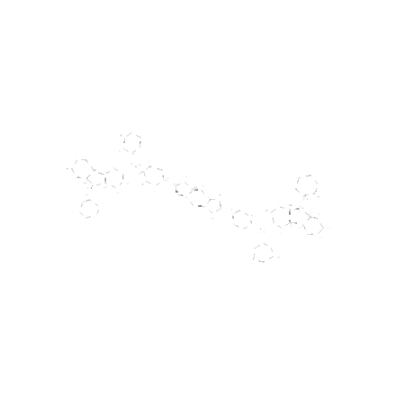 c1ccc(N(c2ccc(-c3cc4cc5oc(-c6ccc(N(c7ccccc7)c7ccc8c(c7)c7ccccc7n8-c7ccccc7)cc6)cc5cc4o3)cc2)c2ccc3c(c2)c2ccccc2n3-c2ccccc2)cc1